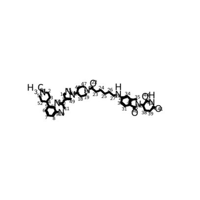 CN1CCC(c2cccc3ncc(-c4cnn(C5CCN(C(=O)CCCCCNc6ccc7c(c6)CN(C6CCC(=O)NC6=O)C7=O)CC5)c4)nc23)CC1